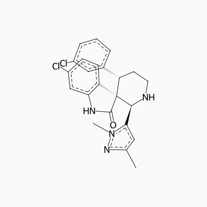 Cc1cc([C@@H]2NCC[C@@H](c3cccc(Cl)c3)[C@]23C(=O)Nc2cc(Cl)ccc23)n(C)n1